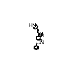 CN(C)Cc1c(OCc2ccccc2)ccc2c(CCC3CCNCC3)noc12